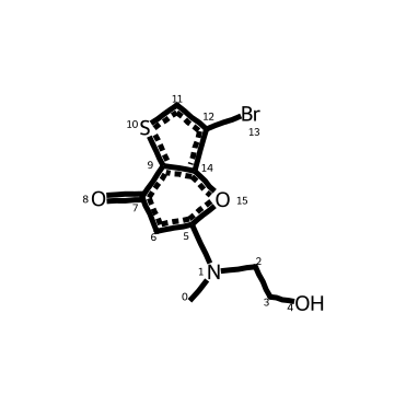 CN(CCO)c1cc(=O)c2scc(Br)c2o1